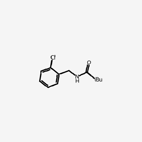 CCC(C)C(=O)NCc1ccccc1Cl